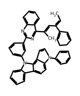 C/C=C(\C=C(/C)c1nc(-c2cccc(-n3c4ccccc4c4ccc5c(ccn5-c5ccccc5)c43)c2)nc2ccccc12)C1=CCCC=C1